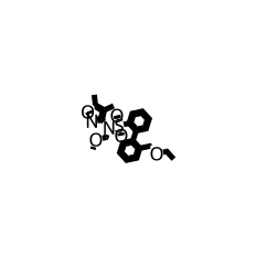 CCOCc1ccccc1-c1ccccc1S(=O)(=O)N(COC)c1noc(C)c1C